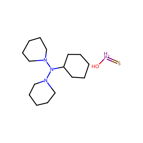 C1CCC(N(N2CCCCC2)N2CCCCC2)CC1.O[PH2]=S